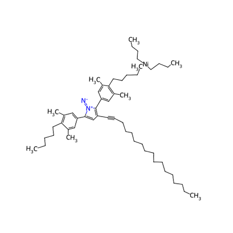 CCCCCCCCCCCCCCCC#CC1=C(c2cc(C)c(CCCCC)c(C)c2)[N+](=[N-])C(c2cc(C)c(CCCCC)c(C)c2)=C1.CCC[CH2][Ni][CH2]CCC